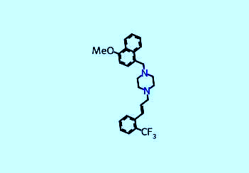 COc1ccc(CN2CCN(C/C=C/c3ccccc3C(F)(F)F)CC2)c2ccccc12